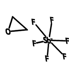 C1CO1.[F][Sb-]([F])([F])([F])([F])[F]